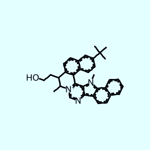 CC1C(CCO)c2ccc3cc(C(C)(C)C)ccc3c2-c2c3c(nc[n+]21)c1ccc2ccccc2c1n3C